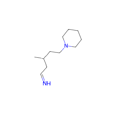 CC(CC=N)CCN1CCCCC1